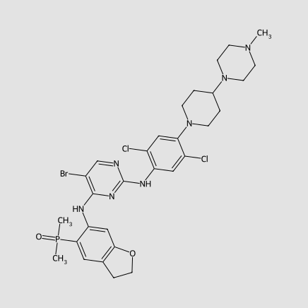 CN1CCN(C2CCN(c3cc(Cl)c(Nc4ncc(Br)c(Nc5cc6c(cc5P(C)(C)=O)CCO6)n4)cc3Cl)CC2)CC1